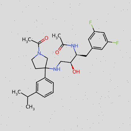 CC(=O)N[C@@H](Cc1cc(F)cc(F)c1)[C@@H](O)CNC1(c2cccc(C(C)C)c2)CCN(C(C)=O)C1